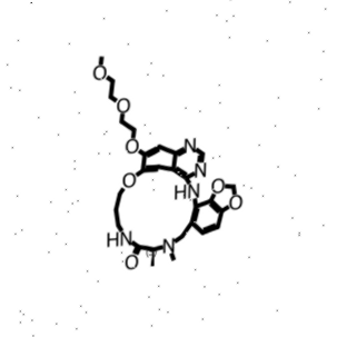 COCCOCCOc1cc2ncnc3c2cc1OCCCNC(=O)[C@H](C)N(C)Cc1ccc2c(c1N3)OCO2